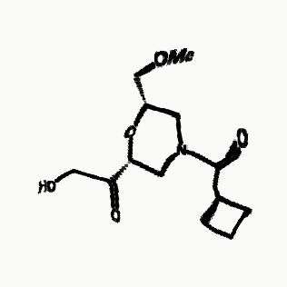 COC[C@@H]1CN(C(=O)C2CCC2)C[C@H](C(=O)CO)O1